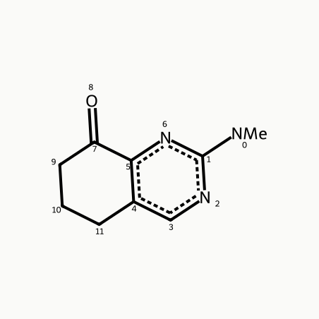 CNc1ncc2c(n1)C(=O)CCC2